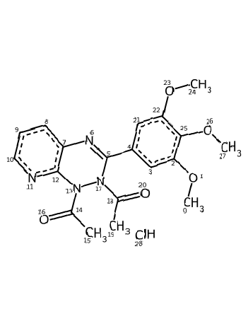 COc1cc(C2=Nc3cccnc3N(C(C)=O)N2C(C)=O)cc(OC)c1OC.Cl